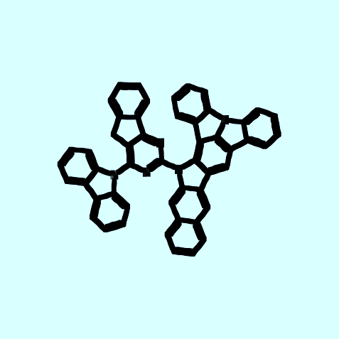 c1ccc2c(c1)Cc1c-2nc(-n2c3cc4ccccc4cc3c3cc4c5ccccc5n5c6ccccc6c(c32)c45)nc1-n1c2ccccc2c2ccccc21